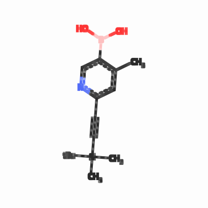 Cc1cc(C#C[Si](C)(C)C(C)(C)C)ncc1B(O)O